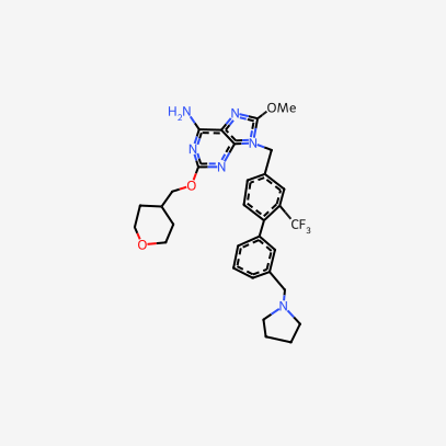 COc1nc2c(N)nc(OCC3CCOCC3)nc2n1Cc1ccc(-c2cccc(CN3CCCC3)c2)c(C(F)(F)F)c1